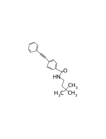 CC(C)(C)CCNC(=O)c1ccc(C#Cc2ccccc2)cc1